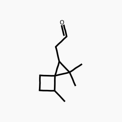 CC1CCC12C(CC=O)C2(C)C